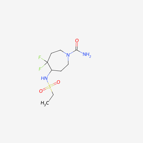 CCS(=O)(=O)NC1CCN(C(N)=O)CCC1(F)F